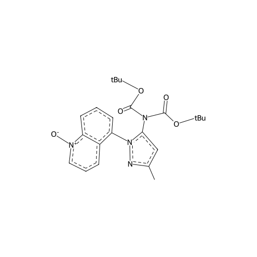 Cc1cc(N(C(=O)OC(C)(C)C)C(=O)OC(C)(C)C)n(-c2cccc3c2ccc[n+]3[O-])n1